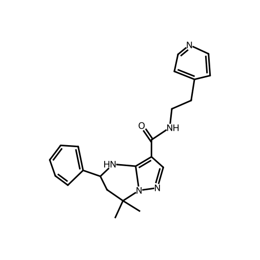 CC1(C)CC(c2ccccc2)Nc2c(C(=O)NCCc3ccncc3)cnn21